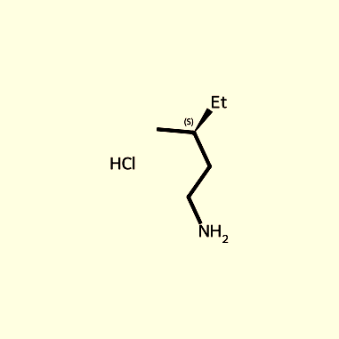 CC[C@H](C)CCN.Cl